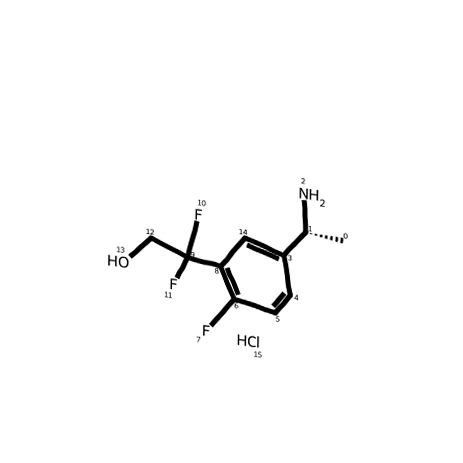 C[C@@H](N)c1ccc(F)c(C(F)(F)CO)c1.Cl